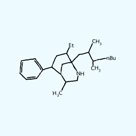 CCCCC(C)C(C)CC12CC(C(C)CN1)C(c1ccccc1)CC2CC